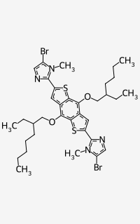 CCCCCC(CC)COc1c2cc(-c3ncc(Br)n3C)sc2c(OCC(CC)CCCC)c2cc(-c3ncc(Br)n3C)sc12